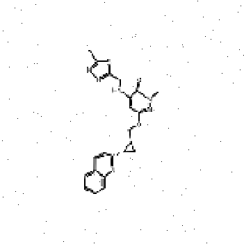 Cc1nnc(CNc2cc(OC[C@H]3C[C@@H]3c3ccc4ccccc4n3)nn(C)c2=O)s1